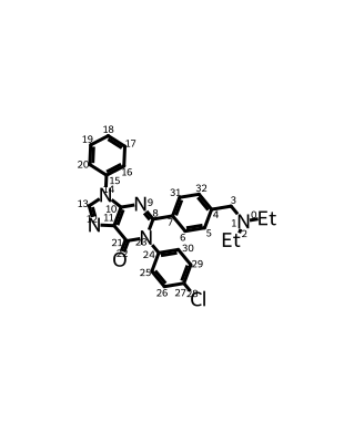 CCN(CC)Cc1ccc(-c2nc3c(ncn3-c3ccccc3)c(=O)n2-c2ccc(Cl)cc2)cc1